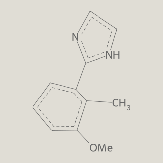 COc1cccc(-c2ncc[nH]2)c1C